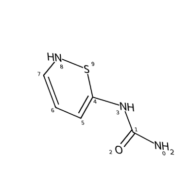 NC(=O)NC1=CC=CNS1